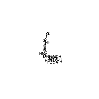 O=C(CCCCC1CCSS1)NCCOCCOCC(=O)Nc1cccc(NC[C@@H](O)C(O)[C@@H](O[C@@H]2OC(CO)[C@@H](O)C(O)[C@@H]2O)C(O)CO)c1